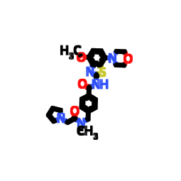 COc1ccc(N2CCOCC2)c2sc(NC(=O)c3ccc(CN(C)C(=O)CN4CCCC4)cc3)nc12